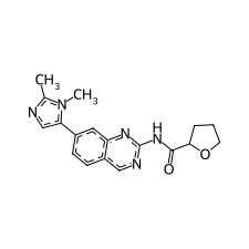 Cc1ncc(-c2ccc3cnc(NC(=O)C4CCCO4)nc3c2)n1C